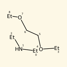 CCNCC.CCOCCOCC